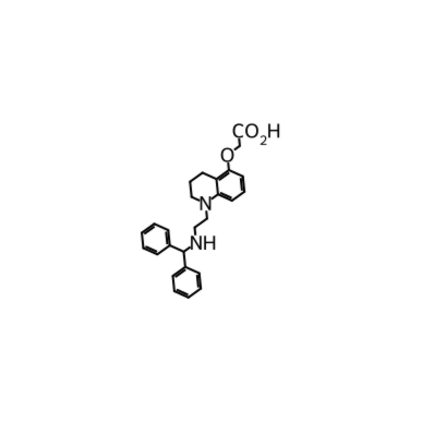 O=C(O)COc1cccc2c1CCCN2CCNC(c1ccccc1)c1ccccc1